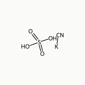 N#[C][K].O=S(=O)(O)O